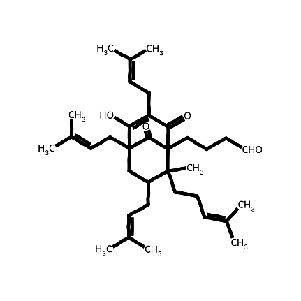 CC(C)=CCCC1(C)C(CC=C(C)C)CC2(CC=C(C)C)C(=O)C1(CCCC=O)C(=O)C(CC=C(C)C)=C2O